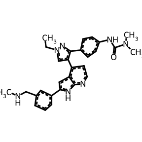 CCn1cc(-c2ccnc3[nH]c(-c4cccc(CNC)c4)cc23)c(-c2ccc(NC(=O)N(C)C)cc2)n1